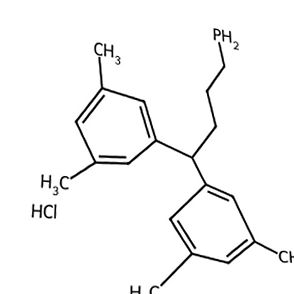 Cc1cc(C)cc(C(CCCP)c2cc(C)cc(C)c2)c1.Cl